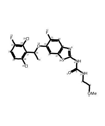 COCCNC(=O)Nc1nc2cc(F)c(OC(C)c3c(Cl)ccc(F)c3Cl)cc2s1